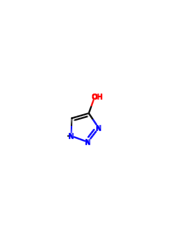 OC1=C[N]N=N1